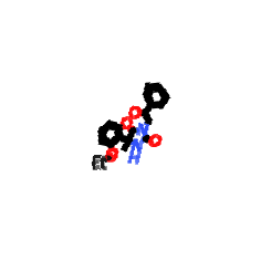 CCOc1ccccc1C1(C)NC(=O)N(CC(=O)c2ccccc2)C1=O